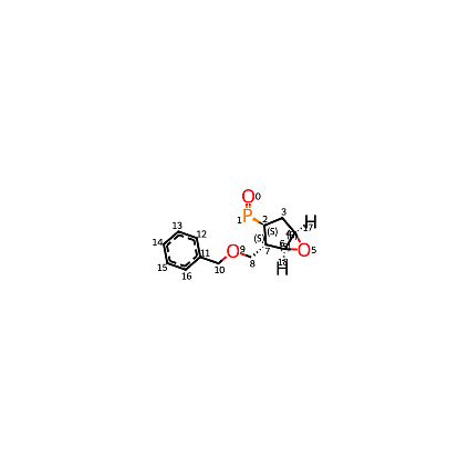 O=P[C@H]1C[C@H]2O[C@H]2[C@@H]1COCc1ccccc1